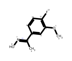 COc1cc(/C(C)=N/O)ccc1F